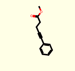 COC(=O)CCC#Cc1ccccc1